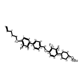 C=CCCCOc1ccc(-c2ccc(COc3ccc(C4CCC(OCCCC)CC4)c(F)c3F)cc2)c(F)c1F